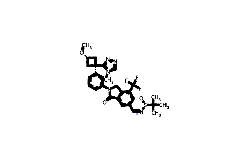 CO[C@H]1C[C@](c2cccc(N3Cc4c(cc(/C=N\[S+]([O-])C(C)(C)C)cc4C(F)(F)F)C3=O)c2)(c2nncn2C)C1